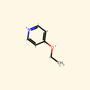 CCOc1c[c]ncc1